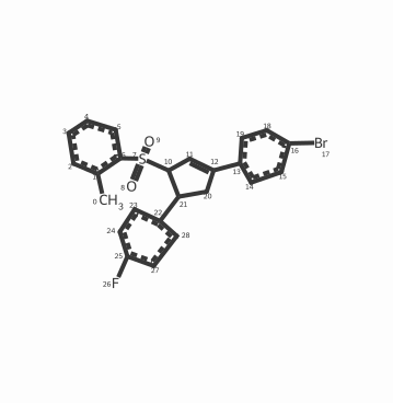 Cc1ccccc1S(=O)(=O)C1C=C(c2ccc(Br)cc2)CC1c1ccc(F)cc1